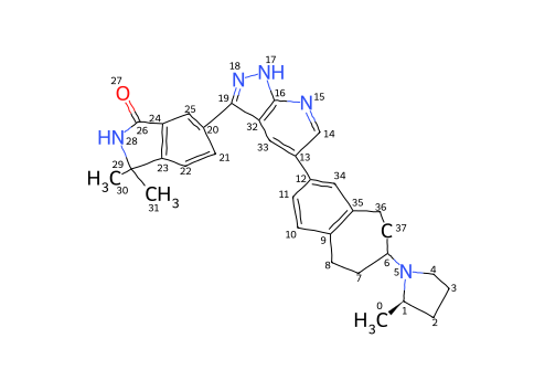 C[C@@H]1CCCN1C1CCc2ccc(-c3cnc4[nH]nc(-c5ccc6c(c5)C(=O)NC6(C)C)c4c3)cc2CC1